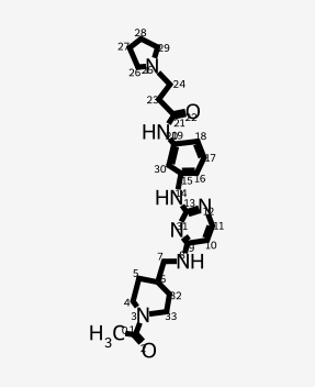 CC(=O)N1CCC(CNc2ccnc(Nc3cccc(NC(=O)CCN4CCCC4)c3)n2)CC1